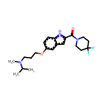 CC(C)N(C)CCCOc1ccc2[nH]c(C(=O)N3CCC(F)(F)CC3)cc2c1